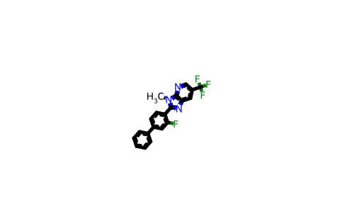 Cn1c(-c2ccc(-c3ccccc3)cc2F)nc2cc(C(F)(F)F)cnc21